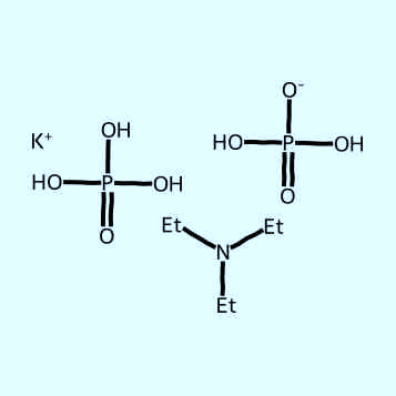 CCN(CC)CC.O=P(O)(O)O.O=P([O-])(O)O.[K+]